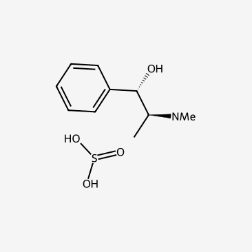 CN[C@@H](C)[C@@H](O)c1ccccc1.O=S(O)O